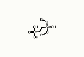 CCO[Si](O)(CCP(=O)(O)O)OCC